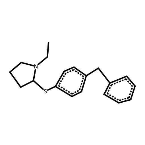 CCN1CCCC1Sc1ccc(Cc2ccccc2)cc1